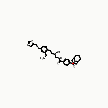 NCc1cc(OCc2cnco2)ccc1CC[C@H](O)CNC(=O)c1ccc(C(=O)N2C3CCCC2COC3)cc1